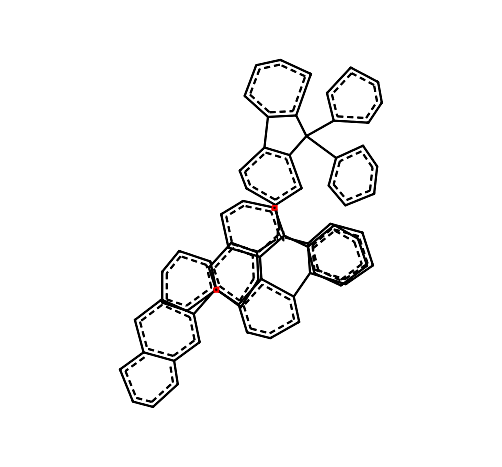 c1ccc(-c2ccccc2-c2c(-c3ccccc3)cccc2-c2ccccc2N(c2ccc(-c3ccc4ccccc4c3)cc2)c2ccc3c(c2)C(c2ccccc2)(c2ccccc2)c2ccccc2-3)cc1